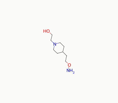 NOCCC1CCN(CCO)CC1